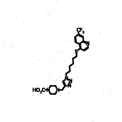 O=C(O)N1CCN(Cc2cn(CCCCCCSc3ccnc4cc(C(F)(F)F)ccc34)nn2)CC1